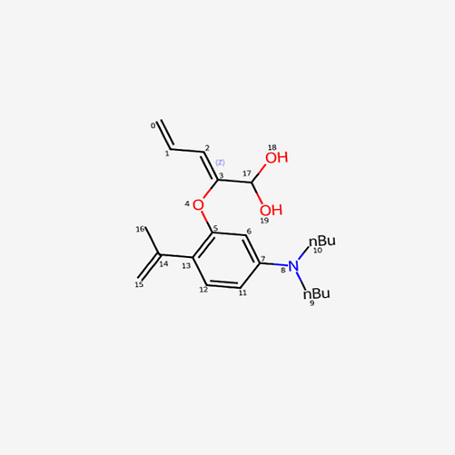 C=C/C=C(\Oc1cc(N(CCCC)CCCC)ccc1C(=C)C)C(O)O